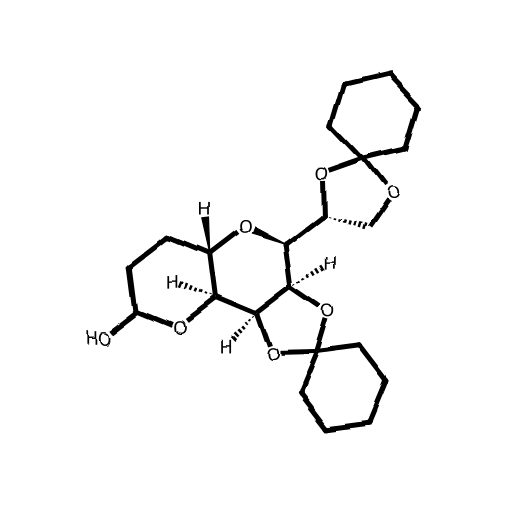 OC1CC[C@@H]2O[C@@H]([C@H]3COC4(CCCCC4)O3)[C@H]3OC4(CCCCC4)O[C@H]3[C@H]2O1